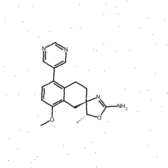 COc1ccc(-c2cncnc2)c2c1C[C@@]1(CC2)N=C(N)O[C@@H]1C